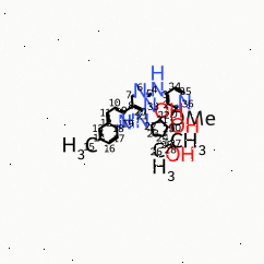 COc1cc(Nc2ncc(-c3ccc4cc(C)ccc4n3)c(N[C@@H]3C[C@@H](C(C)(C)O)[C@@H](O)[C@H]3O)n2)ccn1